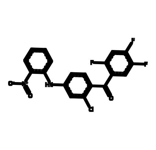 O=C(c1cc(F)c(F)cc1F)c1ccc(Nc2ccccc2[N+](=O)[O-])cc1Cl